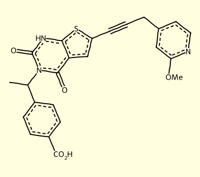 COc1cc(CC#Cc2cc3c(=O)n(C(C)c4ccc(C(=O)O)cc4)c(=O)[nH]c3s2)ccn1